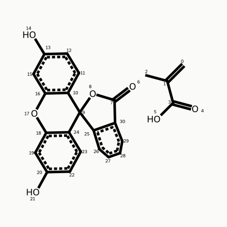 C=C(C)C(=O)O.O=C1OC2(c3ccc(O)cc3Oc3cc(O)ccc32)c2ccccc21